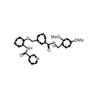 COc1ccc(CNC(=O)c2cccc(CSc3ccccc3NC(=O)c3cccnc3)c2)c(OC)c1